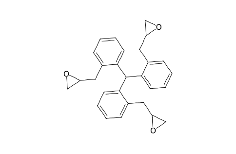 c1ccc(C(c2ccccc2CC2CO2)c2ccccc2CC2CO2)c(CC2CO2)c1